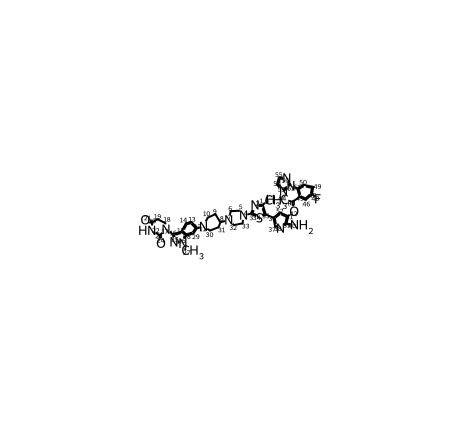 Cc1nc(N2CCN(C3CCN(c4ccc5c(N6CCC(=O)NC6=O)nn(C)c5c4)CC3)CC2)sc1-c1cnc(N)c(O[C@@H](C)c2cc(F)ccc2-n2nccn2)c1